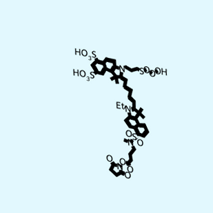 CC[N+]1=C(/C=C/C=C/C=C2/N(CCCSOOO)c3ccc4c(S(=O)(=O)O)cc(S(=O)(=O)O)cc4c3C2(C)C)C(C)(C)c2c1ccc1c(S(=O)(=O)N(C)CCCC(=O)ON3C(=O)CCC3=O)cccc21